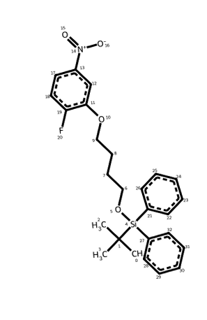 CC(C)(C)[Si](OCCCCOc1cc([N+](=O)[O-])ccc1F)(c1ccccc1)c1ccccc1